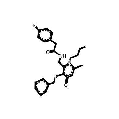 CCCCn1c(C)cc(=O)c(OCc2ccccc2)c1CNC(=O)Cc1ccc(F)cc1